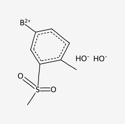 [B+2]c1ccc(C)c(S(C)(=O)=O)c1.[OH-].[OH-]